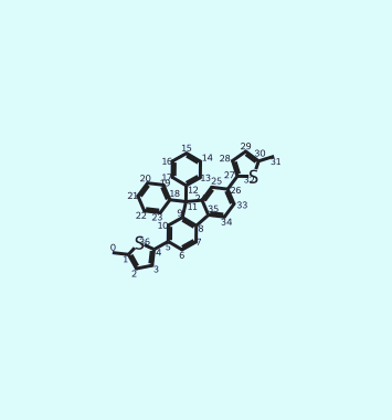 Cc1ccc(-c2ccc3c(c2)C(c2ccccc2)(c2ccccc2)c2cc(-c4ccc(C)s4)ccc2-3)s1